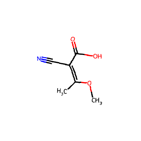 CO/C(C)=C(/C#N)C(=O)O